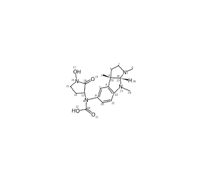 CN1CC[C@@]2(C)c3cc(N(C(=O)O)C4CCN(O)C4=O)ccc3N(C)[C@@H]12